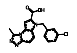 Cc1nnc2ccc3c(cc(C(=O)O)n3Cc3cccc(Cl)c3)n12